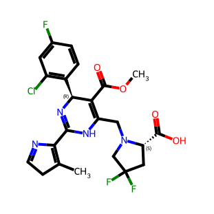 COC(=O)C1=C(CN2CC(F)(F)C[C@H]2C(=O)O)NC(C2=C(C)CC=N2)=N[C@H]1c1ccc(F)cc1Cl